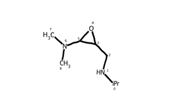 CC(C)NCC1OC1N(C)C